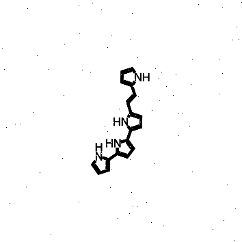 C(=Cc1ccc(-c2ccc(-c3ccc[nH]3)[nH]2)[nH]1)c1ccc[nH]1